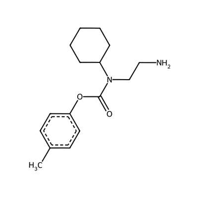 Cc1ccc(OC(=O)N(CCN)C2CCCCC2)cc1